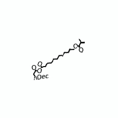 C=C(C)C(=O)OCCCCCCCCCCCC(=O)OC(=O)CCCCCCCCCCC